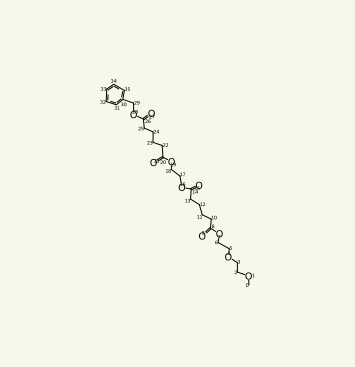 COCCOCCOC(=O)CCCCC(=O)OCCOC(=O)CCCCC(=O)OCc1ccccc1